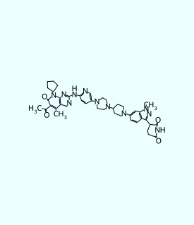 CC(=O)c1c(C)c2cnc(Nc3ccc(N4CCN(C5CCN(c6ccc7c(C8CCC(=O)NC8=O)nn(C)c7c6)CC5)CC4)cn3)nc2n(C2CCCC2)c1=O